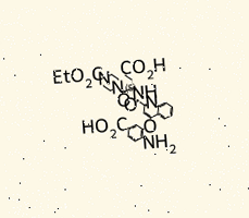 CCOC(=O)N1CCN(C(=O)[C@H](CCC(=O)O)NC(=O)c2cc(Oc3cc(C(=O)O)ccc3N)c3ccccc3n2)CC1